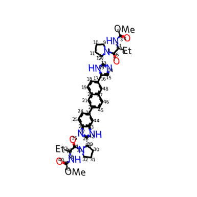 CC[C@H](NC(=O)OC)C(=O)N1CCC[C@H]1c1ncc(-c2ccc3cc(-c4ccc5nc([C@@H]6CCCN6C(=O)[C@H](CC)NC(=O)OC)[nH]c5c4)ccc3c2)[nH]1